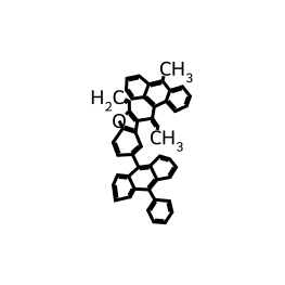 C=Cc1oc2ccc(-c3c4ccccc4c(-c4ccccc4)c4ccccc34)cc2c1/C(=C\C)c1c2ccccc2c(C)c2ccccc12